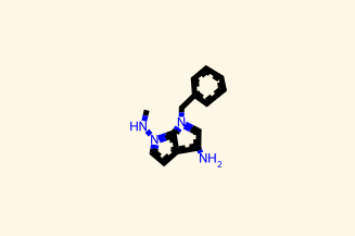 CNn1ccc2c(N)cn(Cc3ccccc3)c21